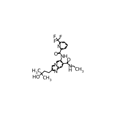 CCNC(=O)c1cc2nc(CCC(C)(C)O)cn2cc1NC(=O)c1cccc(C(F)(F)F)n1